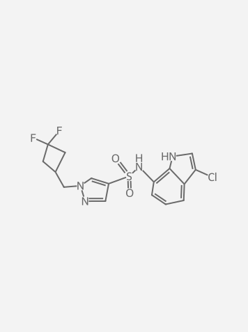 O=S(=O)(Nc1cccc2c(Cl)c[nH]c12)c1cnn(CC2CC(F)(F)C2)c1